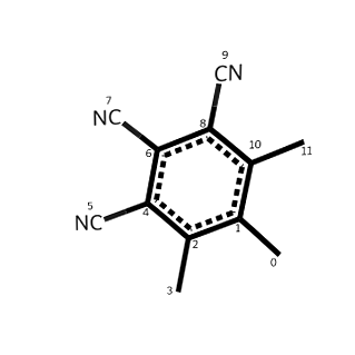 Cc1c(C)c(C#N)c(C#N)c(C#N)c1C